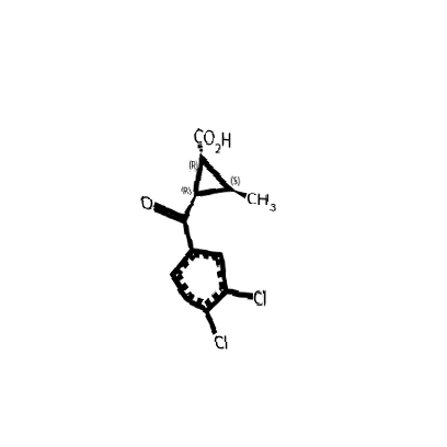 C[C@@H]1[C@@H](C(=O)O)[C@@H]1C(=O)c1ccc(Cl)c(Cl)c1